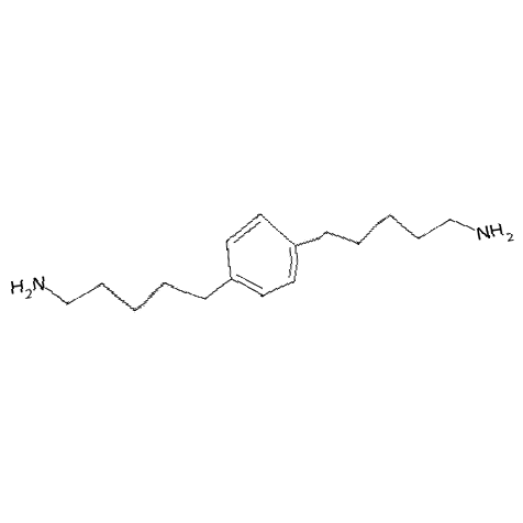 NCCCCCc1ccc(CCCCCN)cc1